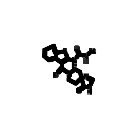 CCNC(=O)Nc1sc2ccccc2c1C(=O)N1CCC2(CC1)N=CNC2=O